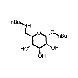 CCCCNC[C@H]1O[C@H](OCCCC)[C@H](O)[C@@H](O)[C@@H]1O